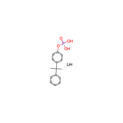 CC(C)(c1ccccc1)c1ccc(OP(=O)(O)O)cc1.[LiH]